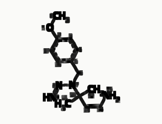 COc1ccc(CN(N=N)C(C)(C)/C=C\N)cc1